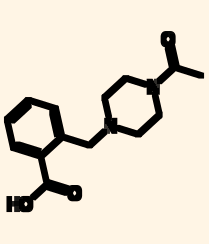 CC(=O)N1CCN(Cc2ccccc2C(=O)O)CC1